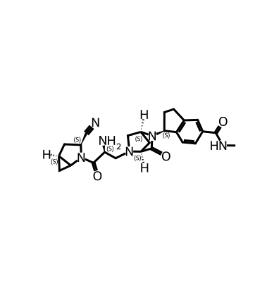 CNC(=O)c1ccc2c(c1)CC[C@@H]2N1C(=O)[C@@H]2C[C@H]1CN2C[C@H](N)C(=O)N1C2C[C@H]2C[C@H]1C#N